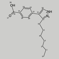 CCCCCCCc1n[nH]cc1-c1ccc(C(=O)O)cc1